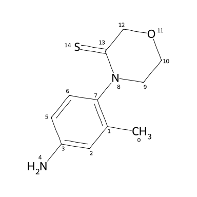 Cc1cc(N)ccc1N1CCOCC1=S